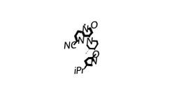 CC(C)c1ccc(O[C@H]2CCN(c3cc(=O)n(C)c4ccc(C#N)nc34)C[C@H]2C)nc1